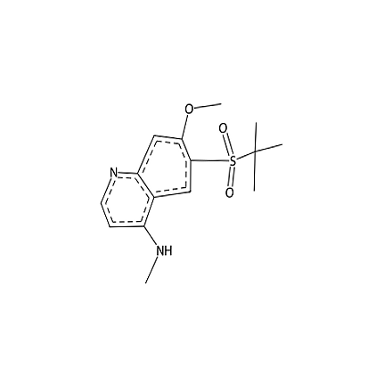 CNc1ccnc2cc(OC)c(S(=O)(=O)C(C)(C)C)cc12